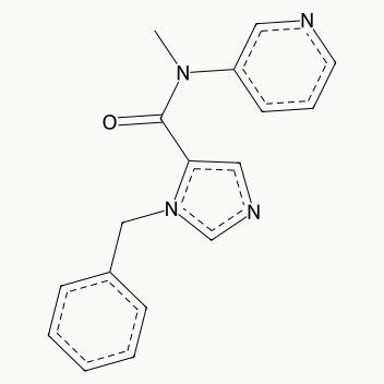 CN(C(=O)c1cncn1Cc1ccccc1)c1cccnc1